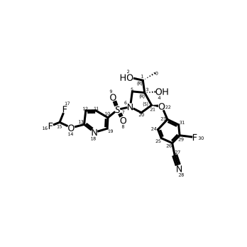 C[C@@H](O)[C@]1(O)CN(S(=O)(=O)c2ccc(OC(F)F)nc2)C[C@@H]1Oc1ccc(C#N)c(F)c1